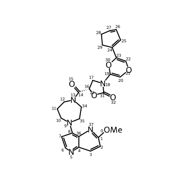 COc1ccc2nccc(N3CCCN(C(=O)[C@@H]4CN(C5=COC=C(C6=CC=CCC6)O5)C(=O)O4)CC3)c2n1